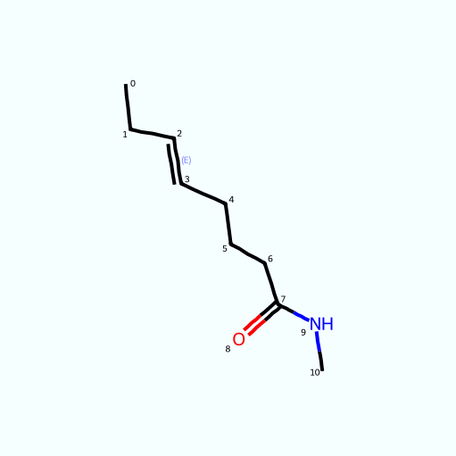 CC/C=C/CCCC(=O)NC